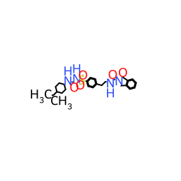 CC(C)C1CCC(NC(=O)NS(=O)(=O)c2ccc(CCNC(=O)N3Cc4ccccc4C3=O)cc2)CC1